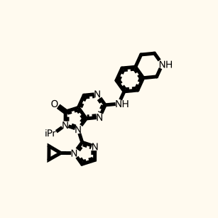 CC(C)n1c(=O)c2cnc(Nc3ccc4c(c3)CNCC4)nc2n1-c1nccn1C1CC1